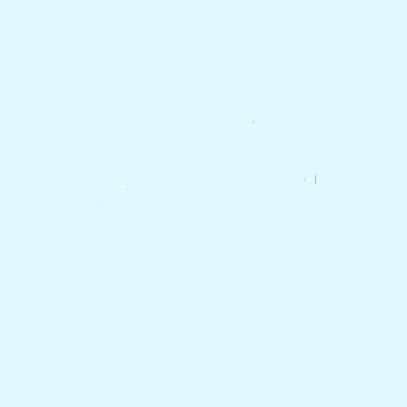 CC1(c2ccccc2)C=CC(C(=O)O)=C(c2ccccc2)C1C(=O)O